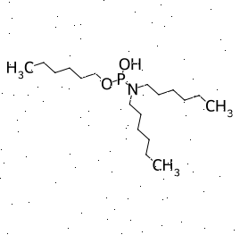 CCCCCCOP(O)N(CCCCCC)CCCCCC